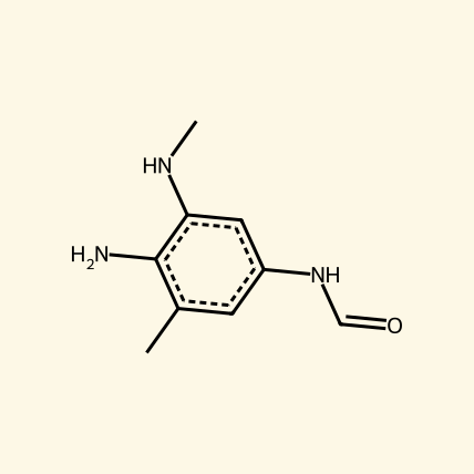 CNc1cc(NC=O)cc(C)c1N